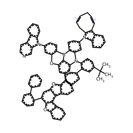 CC(C)(C)c1ccc(N2c3cc(-n4c5c(c6ccccc64)/C=C\C/C=C\C5)ccc3B3c4ccc(-n5c6ccccc6c6ccncc65)cc4Oc4cc(-c5cccc6c5oc5cc(-c7ccccc7-c7ccccc7)c7oc8ccccc8c7c56)cc2c43)c(-c2ccccc2)c1